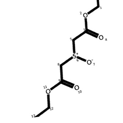 CCOC(=O)C[S+]([O-])CC(=O)OCC